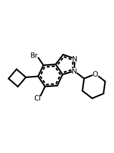 Clc1cc2c(cnn2C2CCCCO2)c(Br)c1C1CCC1